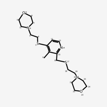 Cc1c(SCCN2CCOCC2)ccnc1CSCCN1CCOCC1